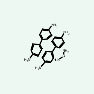 NON.Nc1ccc(-c2ccc(N)cc2)cc1.Nc1ccc(-c2ccc(N)cc2)cc1